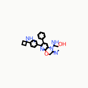 C/N=C1/COc2nc(-c3ccc(C4(N)CCC4)cc3)c(-c3ccccc3)cc2N1C(=N)CO